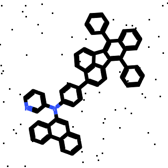 c1ccc(-c2c3c(c(-c4ccccc4)c4ccccc24)-c2ccc(-c4ccc(N(c5cccnc5)c5cc6ccccc6c6ccccc56)cc4)c4cccc-3c24)cc1